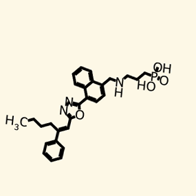 CCCC/C(=C\c1nnc(-c2ccc(CNCCCP(=O)(O)O)c3ccccc23)o1)c1ccccc1